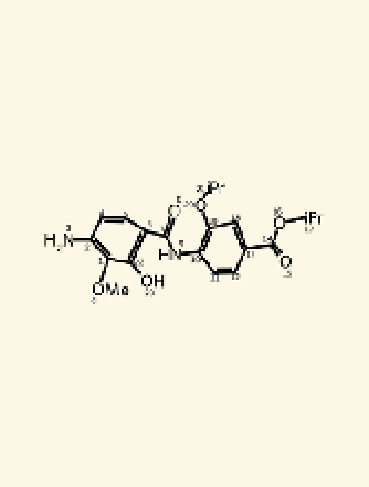 COc1c(N)ccc(C(=O)Nc2ccc(C(=O)OC(C)C)cc2OC(C)C)c1O